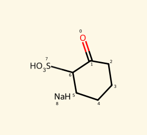 O=C1CCCCC1S(=O)(=O)O.[NaH]